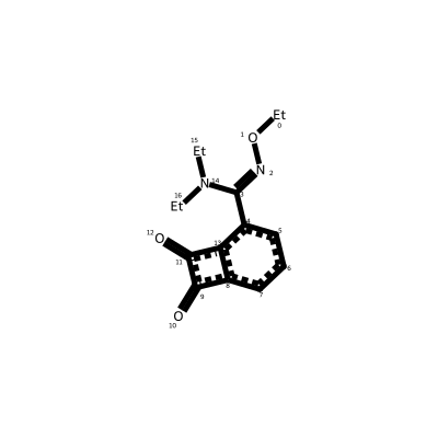 CCON=C(c1cccc2c(=O)c(=O)c12)N(CC)CC